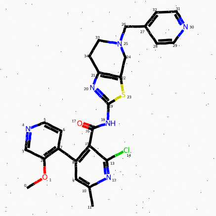 COc1cnccc1-c1cc(C)nc(Cl)c1C(=O)Nc1nc2c(s1)CN(Cc1ccncc1)CC2